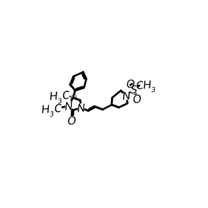 CN1C(=O)N(C=CCC2CCN(S(C)(=O)=O)CC2)C[C@]1(C)c1ccccc1